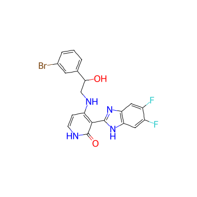 O=c1[nH]ccc(NCC(O)c2cccc(Br)c2)c1-c1nc2cc(F)c(F)cc2[nH]1